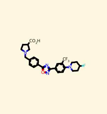 O=C(O)C1CCN(Cc2ccc(-c3nc(-c4ccc(N5CCC(F)CC5)c(C(F)(F)F)c4)no3)cc2)C1